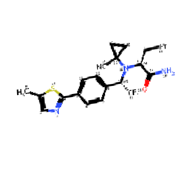 Cc1cnc(-c2ccc([C@H](N([C@@H](CC(C)C)C(N)=O)C3(C#N)CC3)C(F)(F)F)cc2)s1